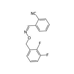 N#Cc1ccccc1/[C]=N\OCc1cccc(F)c1F